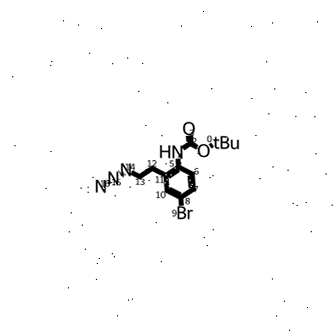 CC(C)(C)OC(=O)Nc1ccc(Br)cc1CCN=[N+]=[N-]